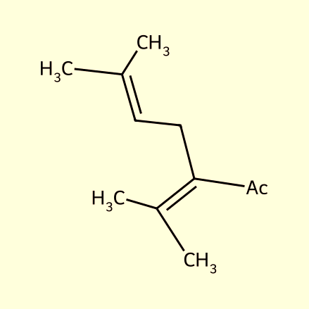 CC(=O)C(CC=C(C)C)=C(C)C